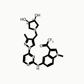 Cc1nn(-c2ccnc(Nc3ccc4c(c3)c(C(=O)C(F)(F)F)cn4C)n2)cc1CN1C[C@@H](O)[C@@H](O)C1